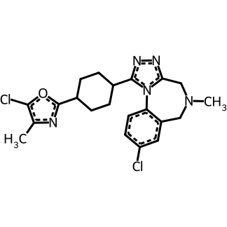 Cc1nc(C2CCC(c3nnc4n3-c3ccc(Cl)cc3CN(C)C4)CC2)oc1Cl